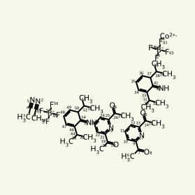 CC#N.CC#N.CC(=O)c1cccc(C(C)=O)n1.CC(=O)c1cccc(C(C)=O)n1.CC(C)C1=CC=CC(C(C)C)C1=N.CC(C)C1=CC=CC(C(C)C)C1=N.F[B-](F)(F)F.F[B-](F)(F)F.[Co+2]